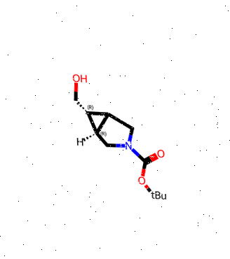 CC(C)(C)OC(=O)N1CC2[C@@H](CO)[C@@H]2C1